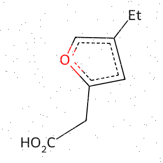 CCc1coc(CC(=O)O)c1